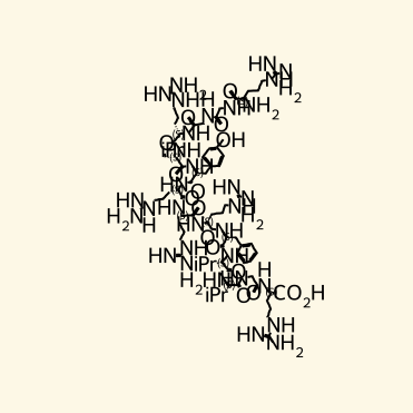 CC(C)C[C@H](NC(=O)[C@H](CCCNC(=N)N)NC(=O)CNC(=O)CNC(=O)[C@@H](N)CCCNC(=N)N)C(=O)N[C@@H](Cc1ccc(O)cc1)C(=O)N[C@@H](CCCNC(=N)N)C(=O)N[C@@H](CCCNC(=N)N)C(=O)N[C@@H](CCCNC(=N)N)C(=O)N[C@@H](Cc1ccccc1)C(=O)N[C@H](C(=O)N[C@H](C(=O)NCC(=O)N[C@@H](CCCNC(=N)N)C(=O)O)C(C)C)C(C)C